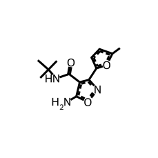 Cc1ccc(-c2noc(N)c2C(=O)NC(C)(C)C)o1